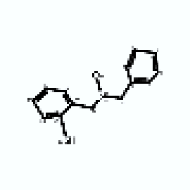 [O-][S+](Cc1ccccc1)Cc1ccccc1S